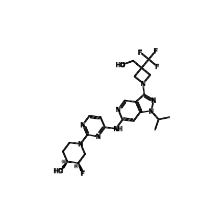 CC(C)n1nc(N2CC(CO)(C(F)(F)F)C2)c2cnc(Nc3ccnc(N4CC[C@H](O)[C@H](F)C4)n3)cc21